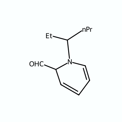 CCCC(CC)N1C=CC=CC1C=O